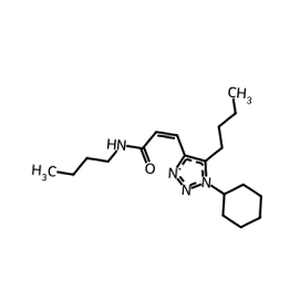 CCCCNC(=O)/C=C\c1nnn(C2CCCCC2)c1CCCC